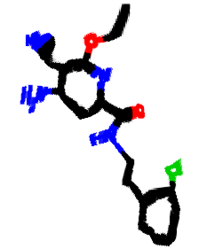 CCOc1nc(C(=O)NCCc2ccccc2Cl)cc(N)c1C#N